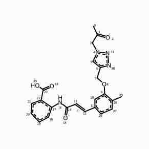 CC(=O)Cn1cc(COc2cc(/C=C/C(=O)Nc3ccccc3C(=O)O)ccc2C)nn1